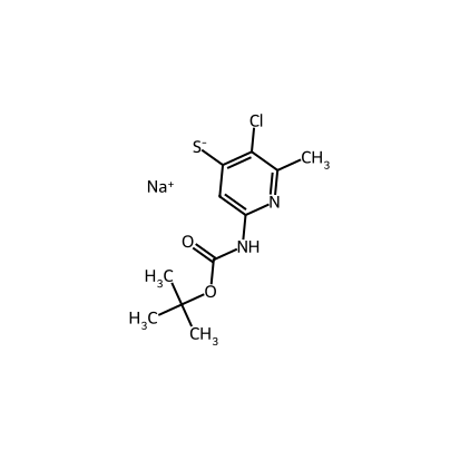 Cc1nc(NC(=O)OC(C)(C)C)cc([S-])c1Cl.[Na+]